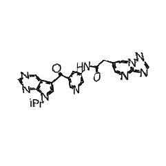 CC(C)n1cc(C(=O)c2cncc(NC(=O)Cc3cnc4ncnn4c3)c2)c2cncnc21